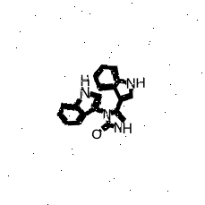 O=c1[nH]cc(-c2c[nH]c3ccccc23)n1-c1c[nH]c2ccccc12